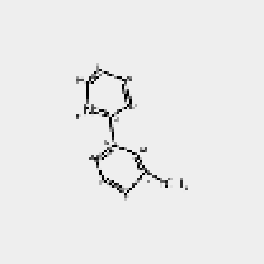 Cc1cccc(-c2[c]cccn2)c1